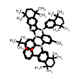 Cc1cc2c3c(c1)N(c1ccc4c(c1)C(C)(C)CCC4(C)C)c1c(sc4cc5c(cc14)C(C)(C)CCC5(C)C)B3c1cc(C(C)(C)C)ccc1N2c1cc2c(cc1-c1ccccc1)C(C)(C)CCC2(C)C